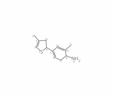 CC1=CSC(C2=CCC(N)C(C)=C2)C1